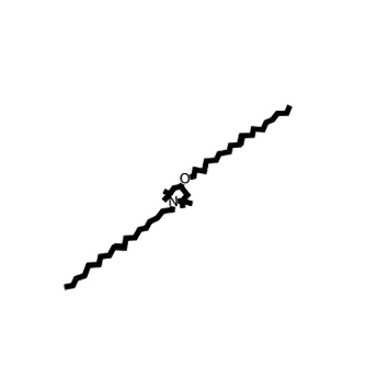 CCCCCCCCC=CCCCCCCCCOC1CC(C)(C)N(CCCCCCCCC=CCCCCCCCC)C(C)(C)C1